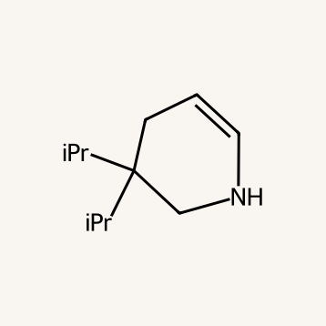 CC(C)C1(C(C)C)CC=CNC1